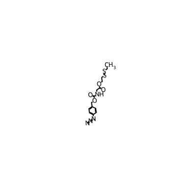 CCSSCCOC(=O)CNC(=O)OCc1ccc(N=[N+]=[N-])cc1